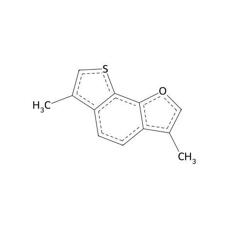 Cc1coc2c1ccc1c(C)csc12